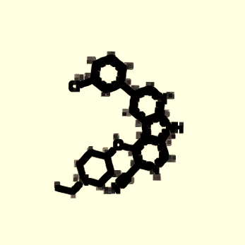 CCN1CCC(Oc2c(C#N)ncc3[nH]c4ncc(-c5cccc(Cl)c5)cc4c23)CC1